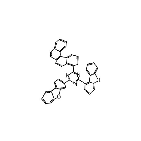 c1ccc2c(c1)ccc1ccc3c(-c4nc(-c5ccc6c(c5)oc5ccccc56)nc(-c5cccc6oc7ccccc7c56)n4)cccc3c12